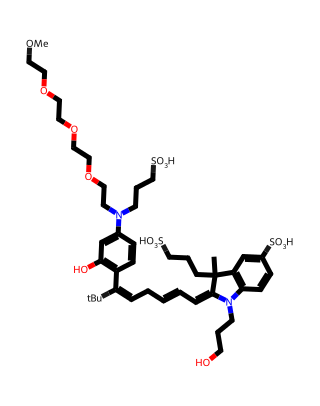 COCCOCCOCCOCCN(CCCS(=O)(=O)O)c1ccc(/C(=C\C/C=C/C=C2/N(CCCO)c3ccc(S(=O)(=O)O)cc3C2(C)CCCS(=O)(=O)O)C(C)(C)C)c(O)c1